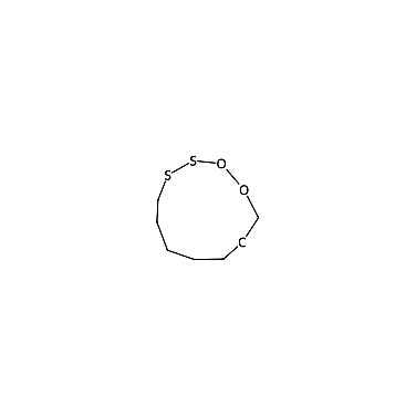 C1CCCOOSSCCC1